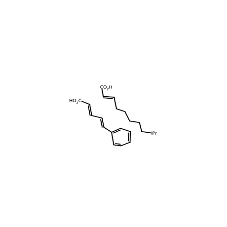 CC(C)CCCCCC=CC(=O)O.O=C(O)C=CC=Cc1ccccc1